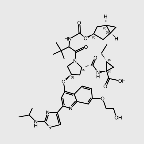 CC[C@@H]1C[C@]1(NC(=O)[C@@H]1C[C@@H](Oc2cc(-c3csc(NC(C)C)n3)nc3cc(OCCO)ccc23)CN1C(=O)C(NC(=O)O[C@@H]1C[C@@H]2C[C@@H]2C1)C(C)(C)C)C(=O)O